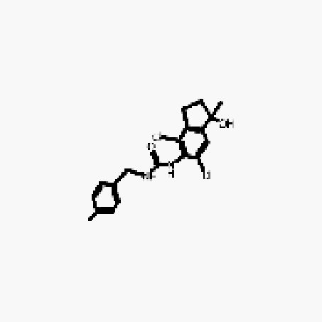 Cc1ccc(CNC(=O)Nc2c(Cl)cc3c(c2Cl)CCC3(C)O)cc1